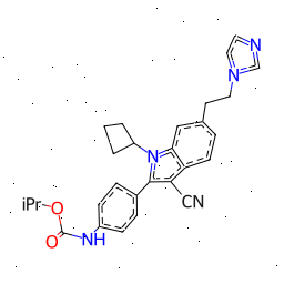 CC(C)OC(=O)Nc1ccc(-c2c(C#N)c3ccc(CCn4ccnc4)cc3n2C2CCC2)cc1